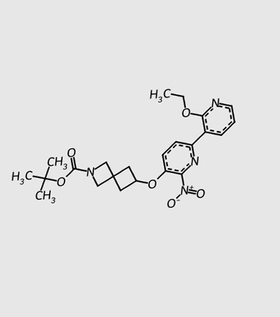 CCOc1ncccc1-c1ccc(OC2CC3(C2)CN(C(=O)OC(C)(C)C)C3)c([N+](=O)[O-])n1